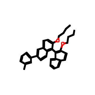 CCCCOc1ccc2ccccc2c1-c1c(OCCCC)ccc2cc(-c3cccc(C)c3)ccc12